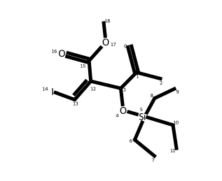 C=C(C)C(O[Si](CC)(CC)CC)/C(=C/I)C(=O)OC